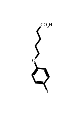 O=C(O)CCCCOc1ccc(I)cc1